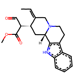 C/C=C1/CN2CCc3c([nH]c4ccccc34)[C@@H]2C[C@@H]1C(C=O)C(=O)OC